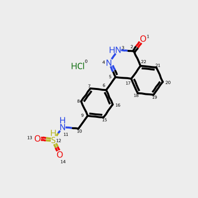 Cl.O=c1[nH]nc(-c2ccc(CN[SH](=O)=O)cc2)c2ccccc12